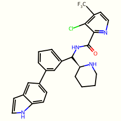 O=C(NC(c1cccc(-c2ccc3[nH]ccc3c2)c1)[C@@H]1CCCCN1)c1nccc(C(F)(F)F)c1Cl